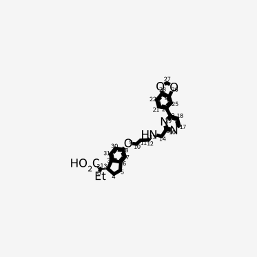 CCC(C(=O)O)[C@@H]1CCc2cc(OCCCNCc3nccc(-c4ccc5c(c4)OCO5)n3)ccc21